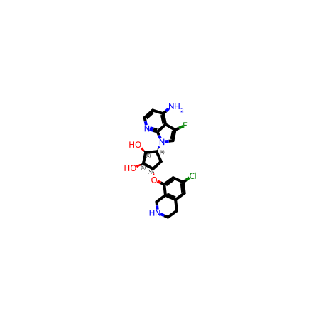 Nc1ccnc2c1c(F)cn2[C@@H]1C[C@H](Oc2cc(Cl)cc3c2CNCC3)[C@@H](O)[C@H]1O